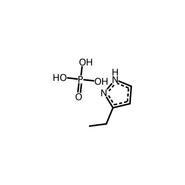 CCc1cc[nH]n1.O=P(O)(O)O